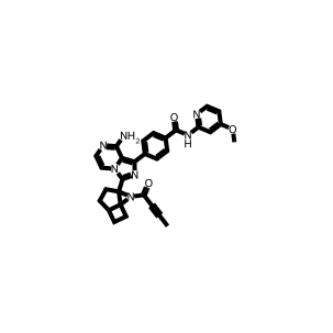 CC#CC(=O)N1C2(c3nc(-c4ccc(C(=O)Nc5cc(OC)ccn5)cc4)c4c(N)nccn34)CCC3CCC312